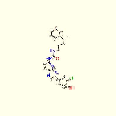 C[C@H](CCCNC(=O)Nc1ccc2ncc(-c3ccc(O)c(Cl)c3)nc2n1)c1ccccc1